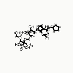 CCOCC(C)(OC[C@H]1O[C@@H](n2ncc3c(NC4CCCC4)nc(Cl)nc32)[C@H](O)[C@@H]1O)P(=O)(O)O